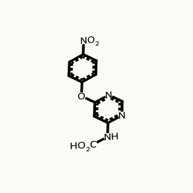 O=C(O)Nc1cc(Oc2ccc([N+](=O)[O-])cc2)ncn1